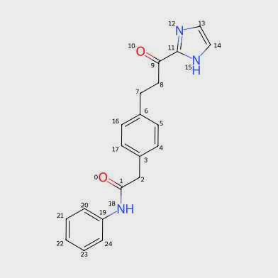 O=C(Cc1ccc(CCC(=O)c2ncc[nH]2)cc1)Nc1ccccc1